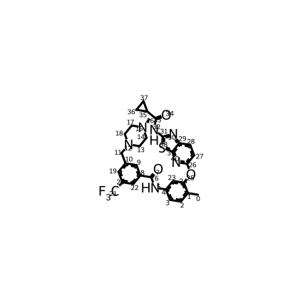 Cc1ccc(NC(=O)c2cc(CN3CCN(C)CC3)cc(C(F)(F)F)c2)cc1Oc1ccc2nc(NC(=O)C3CC3)sc2n1